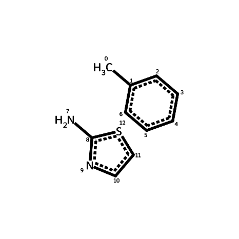 Cc1ccccc1.Nc1nccs1